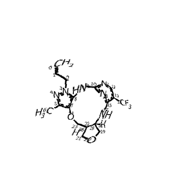 C=CCn1nc(C)c2c1Nc1ncc(C(F)(F)F)c(n1)N[C@@H]1COC[C@H]1CO2